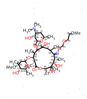 CC[C@H]1OC(=O)[C@H](C)[C@@H](OC2C[C@@](C)(OC)[C@@H](O)[C@H](C)O2)C(C)[C@@H](OC2O[C@H](C)C[C@H](N(C)C)[C@H]2O)[C@](C)(O)C[C@@H](C)/C(=N\OCOCCOC)[C@H](C)[C@@H](O)[C@]1(C)O